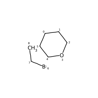 C1CCOCC1.[B]CC